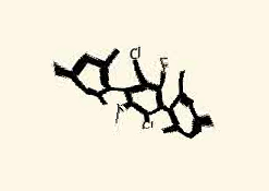 Cc1cc(C)c(-c2c(F)c(Cl)c(-c3c(C)cc(C)cc3C)c(F)c2Cl)c(C)c1